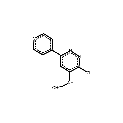 O=CNc1cc(-c2ccncc2)nnc1Cl